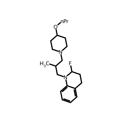 CCCOC1CCN(CC(C)CN2c3ccccc3CCC2F)CC1